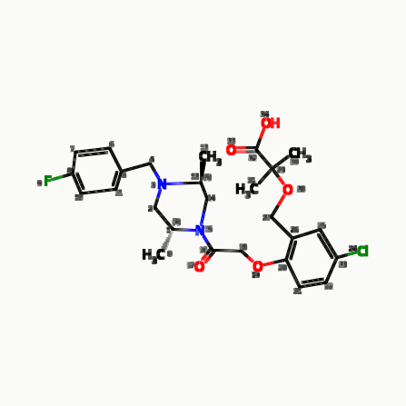 C[C@@H]1CN(Cc2ccc(F)cc2)[C@@H](C)CN1C(=O)COc1ccc(Cl)cc1COC(C)(C)C(=O)O